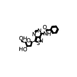 O=C(Nc1ncnc2c([C@H]3C[C@H](O)[C@@H](CO)O3)snc12)c1ccccc1